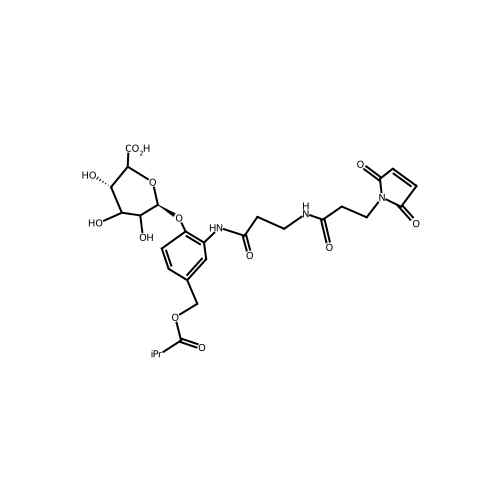 CC(C)C(=O)OCc1ccc(O[C@@H]2OC(C(=O)O)[C@@H](O)C(O)C2O)c(NC(=O)CCNC(=O)CCN2C(=O)C=CC2=O)c1